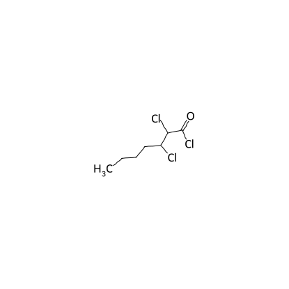 CCCCC(Cl)C(Cl)C(=O)Cl